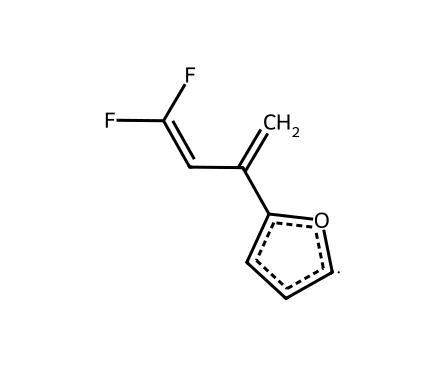 C=C(C=C(F)F)c1cc[c]o1